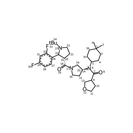 CC1(C)CCC(N(C(=O)C2CCOC2)[C@H]2CCN(C(=O)[C@H]3CCN(C(C)(C)C)C3c3ccc(F)cc3F)C2)CC1